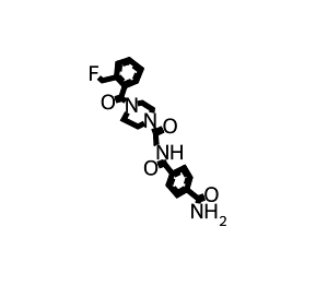 NC(=O)c1ccc(C(=O)NCC(=O)N2CCN(C(=O)c3ccccc3CF)CC2)cc1